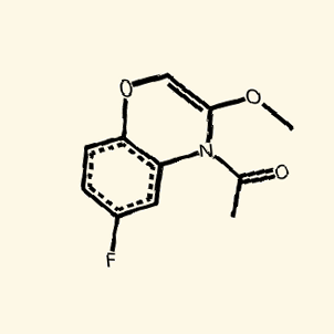 COC1=COc2ccc(F)cc2N1C(C)=O